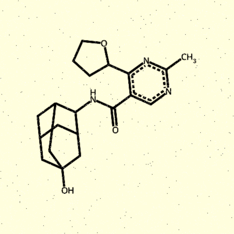 Cc1ncc(C(=O)NC2C3CC4CC2CC(O)(C4)C3)c(C2CCCO2)n1